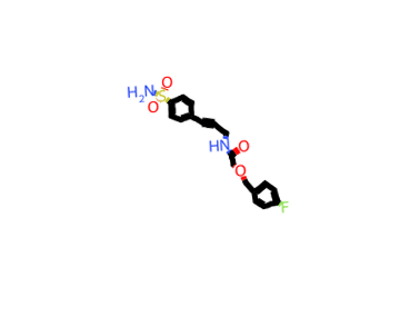 NS(=O)(=O)c1ccc(C#CCNC(=O)COCc2ccc(F)cc2)cc1